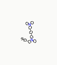 C[Si](C)(C)c1ccc(-c2cccc(N(c3ccccc3)c3ccc(-c4ccc(-c5ccc(N(c6ccccc6)c6ccccc6)cc5)cc4)cc3)c2)cc1